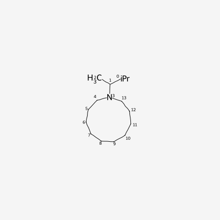 CC(C)C(C)N1CCCCCCCCCC1